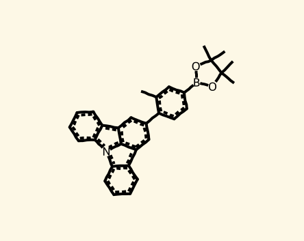 Cc1cc(B2OC(C)(C)C(C)(C)O2)ccc1-c1cc2c3ccccc3n3c4ccccc4c(c1)c23